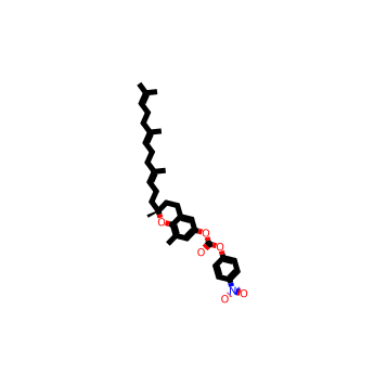 CC(C)=CCC/C(C)=C/CC/C(C)=C/CC[C@]1(C)CCc2cc(OC(=O)Oc3ccc([N+](=O)[O-])cc3)cc(C)c2O1